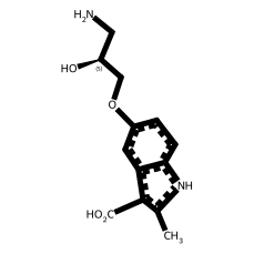 Cc1[nH]c2ccc(OC[C@@H](O)CN)cc2c1C(=O)O